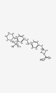 O=C(O)C1CN(Cc2ccc(SCc3ccc(C4CCCCC4)c(C(F)(F)F)c3)cc2)C1